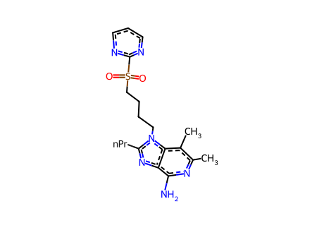 CCCc1nc2c(N)nc(C)c(C)c2n1CCCCS(=O)(=O)c1ncccn1